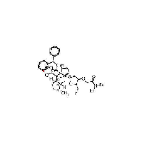 CCN(CC)C(=O)COC1C[C@H](C23C[C@@H]4[C@H](C)CC[C@H]4C4(C5OCCO5)CC2C=C(C(C)C)C43C(=O)OC(c2ccccc2)c2ccccc2)OC1CI